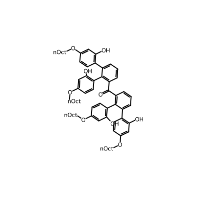 CCCCCCCCOc1ccc(-c2cccc(C(=O)c3cccc(-c4ccc(OCCCCCCCC)cc4O)c3-c3ccc(OCCCCCCCC)cc3O)c2-c2ccc(OCCCCCCCC)cc2O)c(O)c1